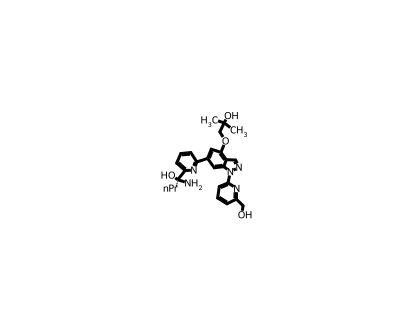 CCC[C@](N)(O)c1cccc(-c2cc(OCC(C)(C)O)c3cnn(-c4cccc(CO)n4)c3c2)n1